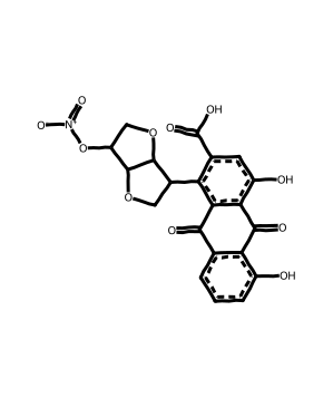 O=C(O)c1cc(O)c2c(c1C1COC3C(O[N+](=O)[O-])COC13)C(=O)c1cccc(O)c1C2=O